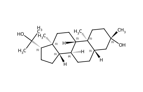 CC(C)(O)[C@H]1CC[C@H]2[C@@H]3CC[C@H]4C[C@@](C)(O)CC[C@]4(C)[C@H]3CC[C@]12C